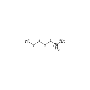 CC[SiH2]CCCCCl